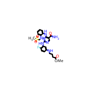 COC(=O)CCCNc1ccc(F)c(Nc2ncc(C(N)=O)c(Nc3ccccc3NCS(C)(=O)=O)n2)c1